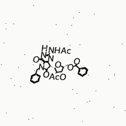 CC(=O)Nc1nc2c(c(=O)[nH]1)N(Cc1ccccc1)C(=O)C2[C@@H]1O[C@H](COC(=O)c2ccccc2)C[C@H]1OC(C)=O